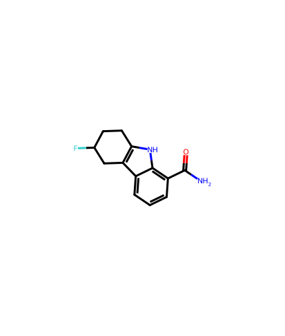 NC(=O)c1cccc2c3c([nH]c12)CCC(F)C3